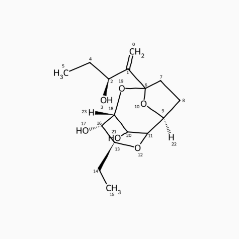 C=C([C@@H](O)CC)C12CC[C@H](O1)C1O[C@@H](CC)[C@H](O)[C@H](O2)C1O